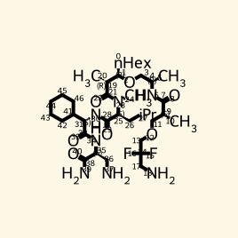 CCCCCC[C@@H](OC[C@@H](C)NC(=O)[C@@H](C)COCC(F)(F)CN)[C@@H](C)C(=O)N(C)[C@@H](CC(C)C)C(=O)N[C@H](C(=O)N[C@@H](CN)C(N)=O)C1CCCCC1